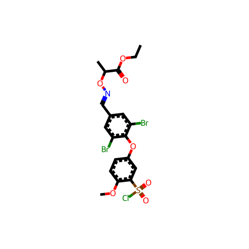 CCOC(=O)C(C)ON=Cc1cc(Br)c(Oc2ccc(OC)c(S(=O)(=O)Cl)c2)c(Br)c1